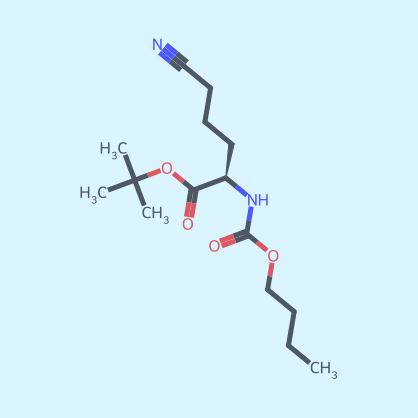 CCCCOC(=O)N[C@H](CCCC#N)C(=O)OC(C)(C)C